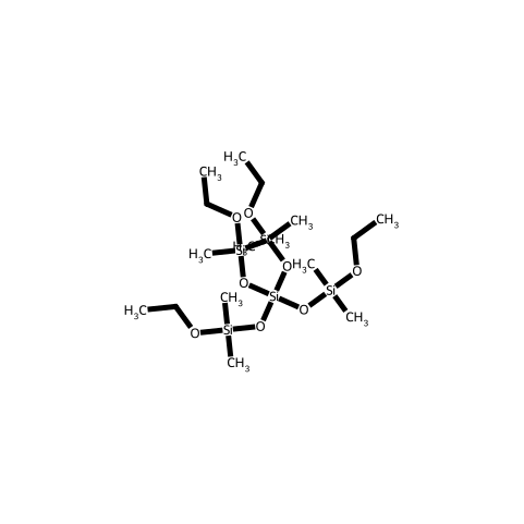 CCO[Si](C)(C)O[Si](O[Si](C)(C)OCC)(O[Si](C)(C)OCC)O[Si](C)(C)OCC